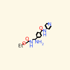 CCOCC(=O)NCC(N)c1ccc(C(=O)Nc2ccncc2)cc1